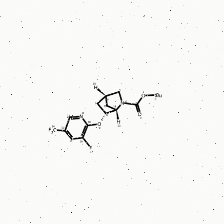 CC(C)(C)OC(=O)N1C[C@H]2C[C@@H](Oc3ncc(C(F)(F)F)cc3F)[C@@H]1C2